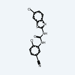 N#Cc1ccc(Cl)c(NC(=O)Nc2nc3ccc(Cl)cc3s2)c1